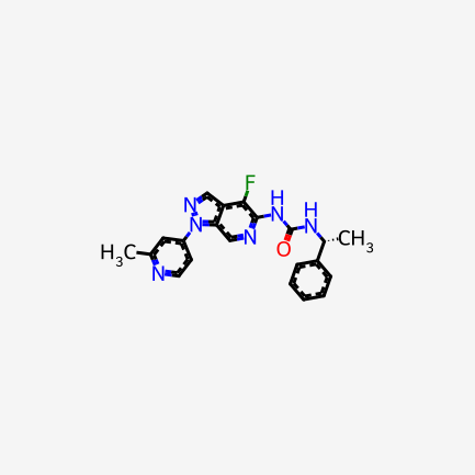 Cc1cc(-n2ncc3c(F)c(NC(=O)N[C@H](C)c4ccccc4)ncc32)ccn1